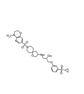 CN1CCOc2cc(S(=O)(=O)N3CCC4(CC3)CC(NCC(O)COc3cccc(S(=O)(=O)C5CC5)c3)CO4)cnc21